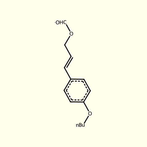 CCCCOc1ccc(C=CCO[C]=O)cc1